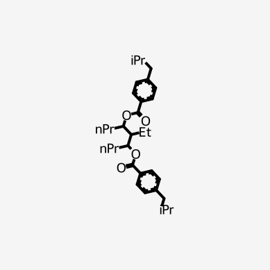 CCCC(OC(=O)c1ccc(CC(C)C)cc1)C(CC)C(CCC)OC(=O)c1ccc(CC(C)C)cc1